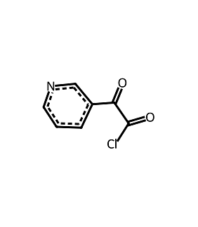 O=C(Cl)C(=O)c1cccnc1